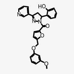 COc1cccc(OCc2ccc(C(=O)N3N=C(c4cccnc4)CC3c3ccccc3O)o2)c1